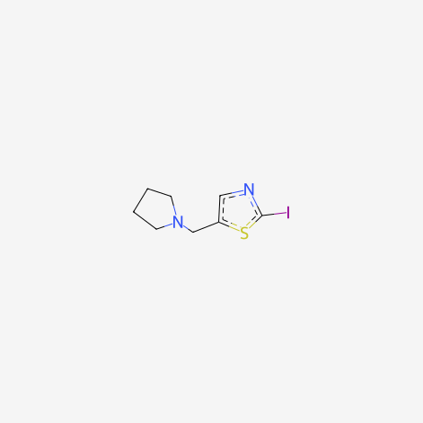 Ic1ncc(CN2CCCC2)s1